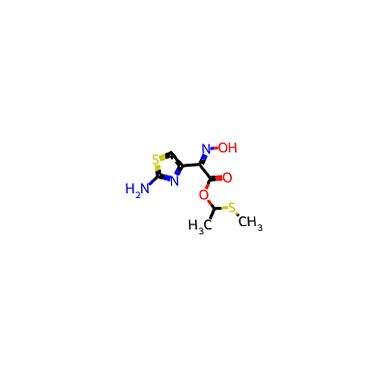 CSC(C)OC(=O)C(=NO)c1csc(N)n1